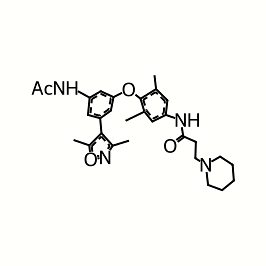 CC(=O)Nc1cc(Oc2c(C)cc(NC(=O)CCN3CCCCC3)cc2C)cc(-c2c(C)noc2C)c1